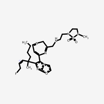 CCCCC(C)(/C=C\CF)c1nc2occn2c1C1=CC=NCC(CNCCN2CCN(C)S2(=O)=O)=N1